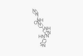 CN1CCN(CCNC(=O)N2CC=C(c3cc4c(Nc5ccc6ncsc6c5)ncnc4[nH]3)CC2)CC1